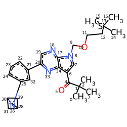 CC(C)(C)C(=O)c1cn(COCC[Si](C)(C)C)c2ncc(-c3cccc(N4CC5CC4C5)c3)nc12